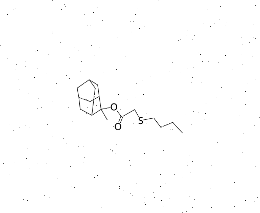 CCCCSCC(=O)OC1(C)C2CC3CC(C2)CC1C3